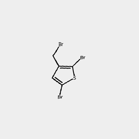 BrCc1cc(Br)sc1Br